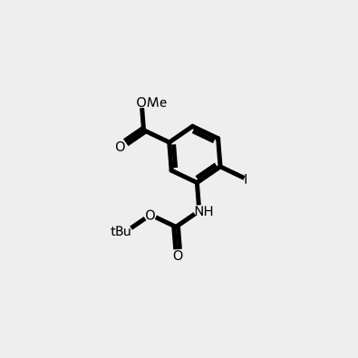 COC(=O)c1ccc(I)c(NC(=O)OC(C)(C)C)c1